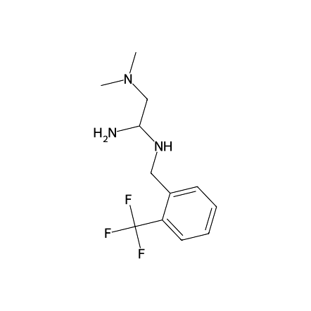 CN(C)CC(N)NCc1ccccc1C(F)(F)F